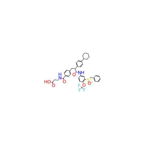 O=C(O)CCNC(=O)c1ccc(CC(C(=O)Nc2ccc(OC(F)(F)F)c([S+]([O-])Cc3ccccc3)c2)c2ccc(C3CCCCC3)cc2)cc1